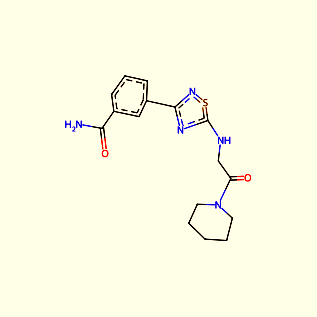 NC(=O)c1cccc(-c2nsc(NCC(=O)N3CCCCC3)n2)c1